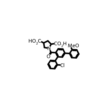 COc1ccccc1-c1ccc(C(=O)N2CC(C(=O)O)CC2C(=O)O)c(-c2ccccc2Cl)c1